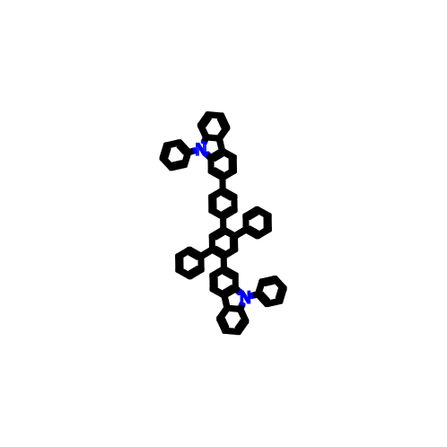 C1=CC2c3ccc(-c4ccc(-c5cc(-c6ccccc6)c(-c6ccc7c(c6)N(c6ccccc6)C6C=CC=CC76)cc5-c5ccccc5)cc4)cc3N(c3ccccc3)C2C=C1